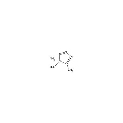 Cc1nncn1C.N